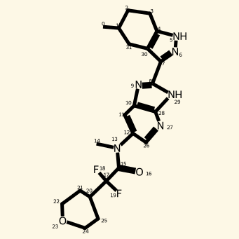 CC1CCc2[nH]nc(-c3nc4cc(N(C)C(=O)C(F)(F)C5CCOCC5)cnc4[nH]3)c2C1